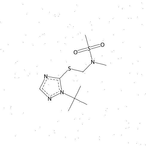 CN(CSc1ncnn1C(C)(C)C)S(C)(=O)=O